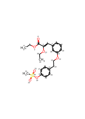 CCOC(=O)/C(=C/c1cccc(OCCc2ccc(OS(C)(=O)=O)cc2)c1)OCC